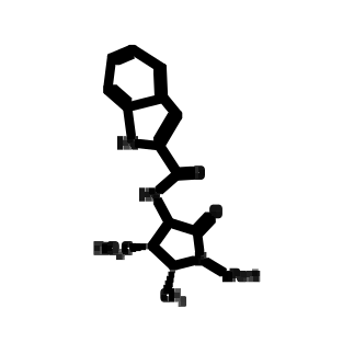 CCCCCN1C(=O)C(NC(=O)c2cc3ccccc3[nH]2)[C@@H](C(=O)OCC)[C@H]1C